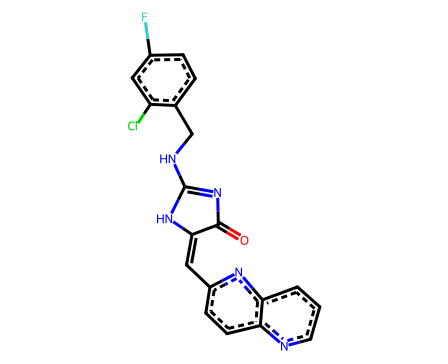 O=C1N=C(NCc2ccc(F)cc2Cl)NC1=Cc1ccc2ncccc2n1